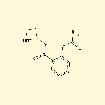 NC(=O)Oc1ccccc1C(=O)[CH]C1CCN1